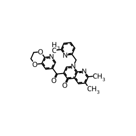 Cc1cccc(Cn2cc(C(=O)c3cnc4c(c3)OCCO4)c(=O)c3cc(C)c(C)nc32)n1